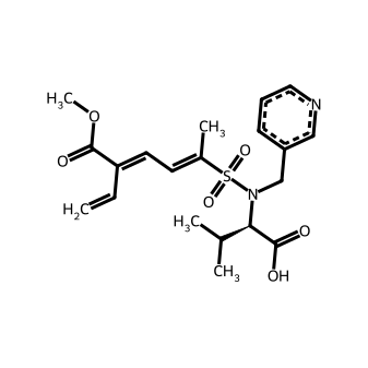 C=C/C(=C\C=C(/C)S(=O)(=O)N(Cc1cccnc1)[C@@H](C(=O)O)C(C)C)C(=O)OC